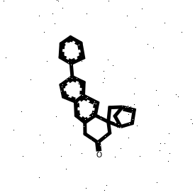 O=C1Cc2cc3ccc(-c4ccccc4)cc3cc2C2(C1)CC1=CCC2C1